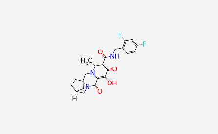 CC1C(C(=O)NCc2ccc(F)cc2F)C(=O)C(O)=C2C(=O)N3C[C@H]4CCC3(C4)CN21